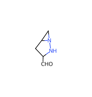 O=CC1CC2CN2N1